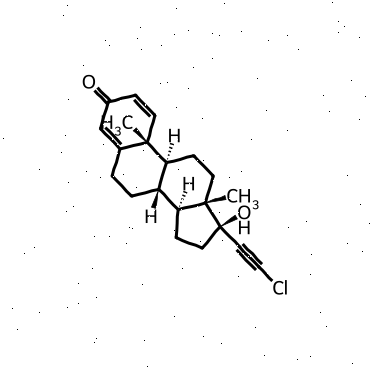 C[C@]12C=CC(=O)C=C1CC[C@@H]1[C@@H]2CC[C@@]2(C)[C@H]1CC[C@@]2(O)C#CCl